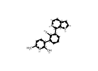 Cc1ccc(-c2cccc(-c3nccc4ccsc34)c2F)c(O)n1